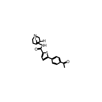 CC(=O)c1ccc(-c2ccc(C(=O)N[C@H]3CN4CCC3CC4)s2)cc1